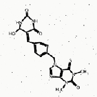 Cn1c(=S)c2c(ncn2Cc2ccc(/C=C3\C(=O)NC(=O)NC3O)cc2)n(C)c1=O